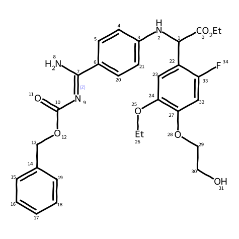 CCOC(=O)C(Nc1ccc(/C(N)=N/C(=O)OCc2ccccc2)cc1)c1cc(OCC)c(OCCO)cc1F